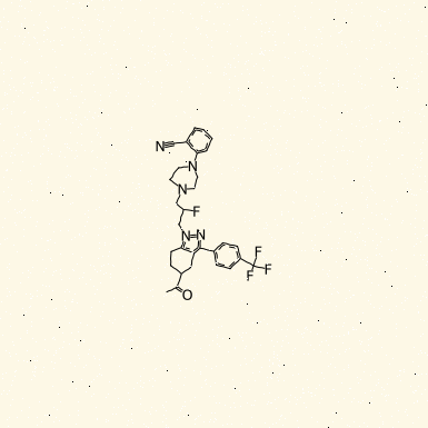 CC(=O)C1CCc2c(c(-c3ccc(C(F)(F)F)cc3)nn2CC(F)CN2CCN(c3ccccc3C#N)CC2)C1